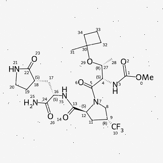 COC(=O)N[C@H](C(=O)N1C[C@H](C(F)(F)F)C[C@H]1C(=O)N[C@@H](C[C@@H]1CCNC1=O)C(N)=O)[C@@H](C)OC1(C)CCC1